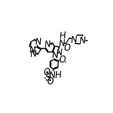 COc1cc(NS(C)(=O)=O)ccc1-n1nc(NC(=O)CN2CCN(C)CC2)c2cnc(-c3cnn4cccnc34)cc21